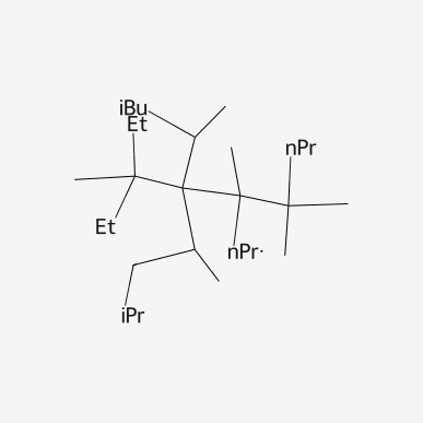 CC[CH]C(C)(C(C)(C)CCC)C(C(C)CC(C)C)(C(C)C(C)CC)C(C)(CC)CC